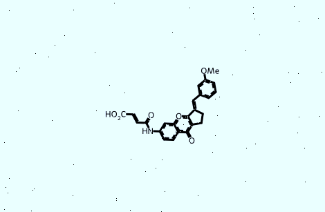 COc1cccc(C=C2CCc3c2oc2cc(NC(=O)/C=C/C(=O)O)ccc2c3=O)c1